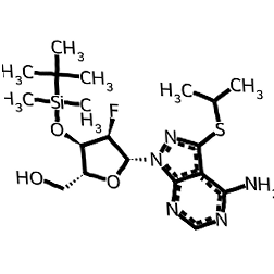 CC(C)Sc1nn([C@@H]2O[C@H](CO)[C@@H](O[Si](C)(C)C(C)(C)C)[C@H]2F)c2ncnc(N)c12